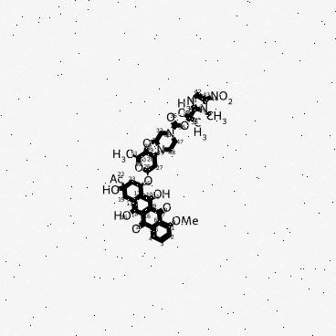 COc1cccc2c1C(=O)c1c(O)c3c(c(O)c1C2=O)C[C@@](O)(C(C)=O)C[C@@H]3O[C@H]1CC2C(OC3CN(C(=O)OC(C)(C)c4ncc([N+](=O)[O-])n4C)CCN32)[C@H](C)O1